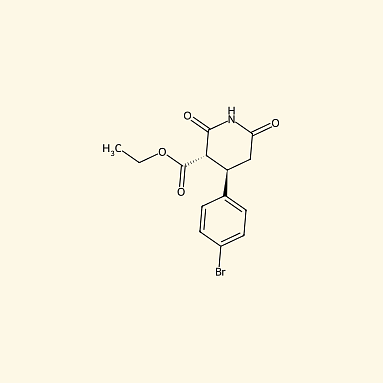 CCOC(=O)[C@@H]1C(=O)NC(=O)C[C@H]1c1ccc(Br)cc1